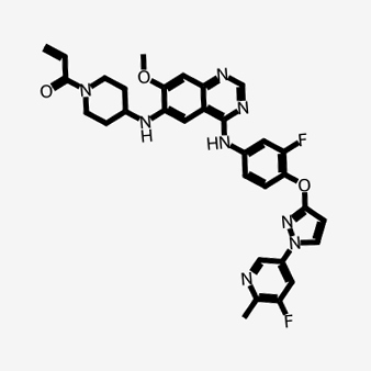 C=CC(=O)N1CCC(Nc2cc3c(Nc4ccc(Oc5ccn(-c6cnc(C)c(F)c6)n5)c(F)c4)ncnc3cc2OC)CC1